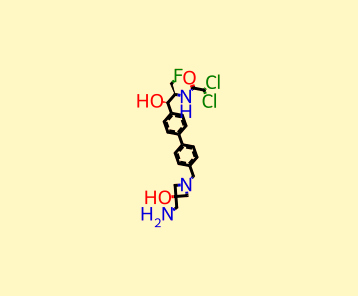 NCC1(O)CN(Cc2ccc(-c3ccc([C@H](O)[C@@H](CF)NC(=O)C(Cl)Cl)cc3)cc2)C1